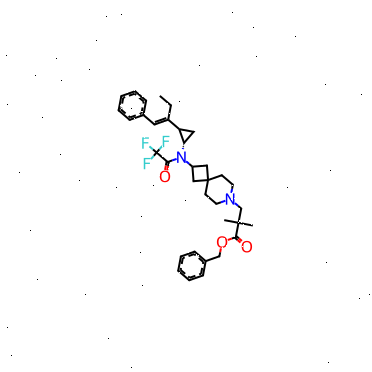 CCC(=Cc1ccccc1)C1C[C@@H]1N(C(=O)C(F)(F)F)C1CC2(CCN(CC(C)(C)C(=O)OCc3ccccc3)CC2)C1